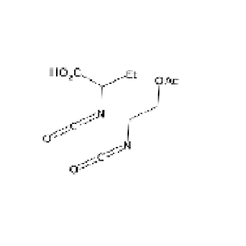 CC(=O)OCCN=C=O.CCC(N=C=O)C(=O)O